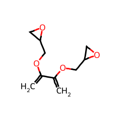 C=C(OCC1CO1)C(=C)OCC1CO1